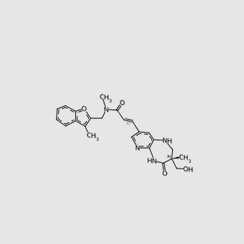 Cc1c(CN(C)C(=O)/C=C/c2cnc3c(c2)NC[C@](C)(CO)C(=O)N3)oc2ccccc12